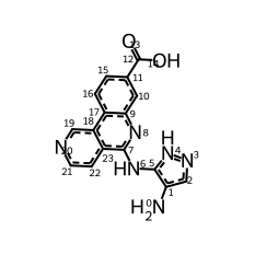 Nc1cn[nH]c1Nc1nc2cc(C(=O)O)ccc2c2cnccc12